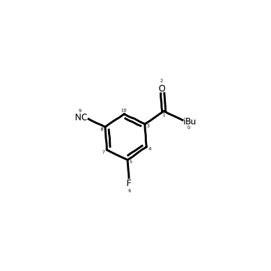 CCC(C)C(=O)c1cc(F)cc(C#N)c1